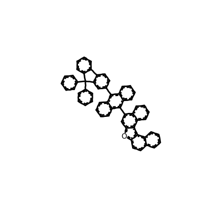 c1ccc(C2(c3ccccc3)c3ccccc3-c3ccc(-c4c5ccccc5c(-c5cc6oc7ccc8ccccc8c7c6c6ccccc56)c5ccccc45)cc32)cc1